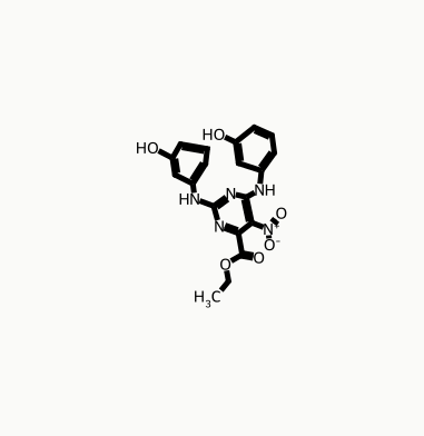 CCOC(=O)c1nc(Nc2cccc(O)c2)nc(Nc2cccc(O)c2)c1[N+](=O)[O-]